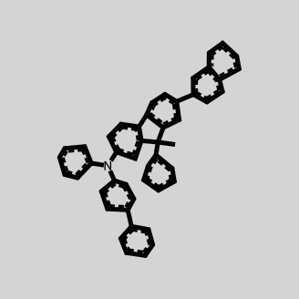 CC1(c2ccccc2)c2cc(-c3ccc4ccccc4c3)ccc2-c2ccc(N(c3ccccc3)c3ccc(-c4ccccc4)cc3)cc21